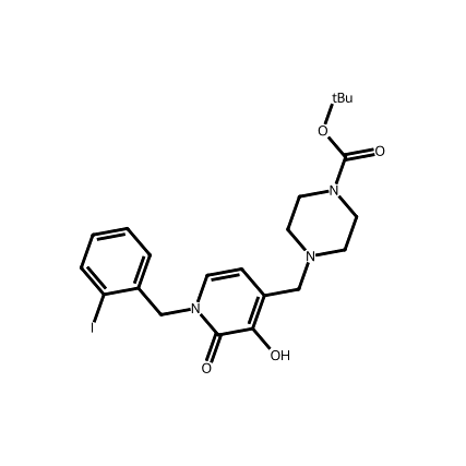 CC(C)(C)OC(=O)N1CCN(Cc2ccn(Cc3ccccc3I)c(=O)c2O)CC1